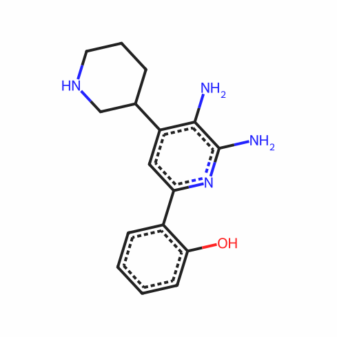 Nc1nc(-c2ccccc2O)cc(C2CCCNC2)c1N